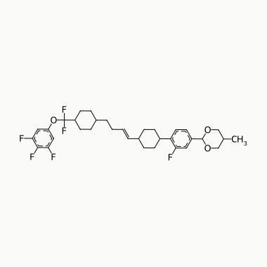 CC1COC(c2ccc(C3CCC(/C=C/CCC4CCC(C(F)(F)Oc5cc(F)c(F)c(F)c5)CC4)CC3)c(F)c2)OC1